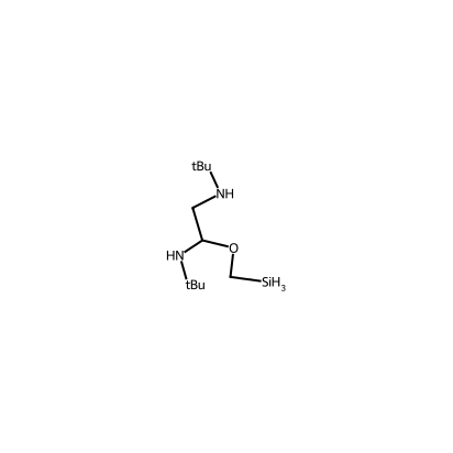 CC(C)(C)NCC(NC(C)(C)C)OC[SiH3]